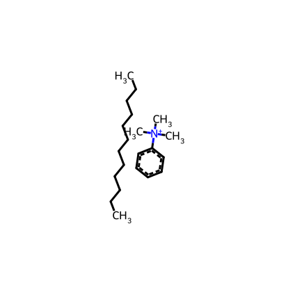 CCCCCCCCCCCC.C[N+](C)(C)c1ccccc1